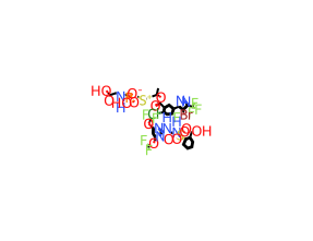 CC(C)OC(=O)c1cc(-c2nn(C)c(C(F)(F)F)c2Br)c(F)cc1Cl.C[S+](C)C.O=C(Nc1nc(OC(F)F)cc(OC(F)F)n1)NS(=O)(=O)c1ccccc1C(=O)O.O=C(O)CNCP(=O)([O-])O